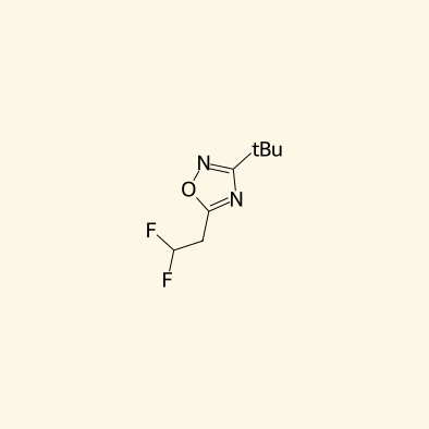 CC(C)(C)c1noc(CC(F)F)n1